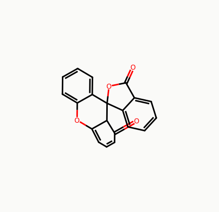 O=C1OC2(c3ccccc3OC3=CC=CC(=O)C32)c2ccccc21